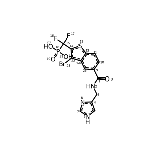 O=C(NCc1c[nH]cn1)c1ccc2sc(C(F)(F)P(=O)(O)O)c(Br)c2c1